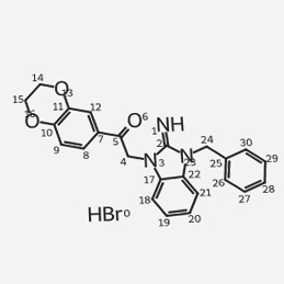 Br.N=c1n(CC(=O)c2ccc3c(c2)OCCO3)c2ccccc2n1Cc1ccccc1